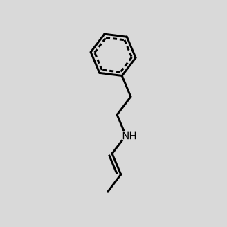 CC=CNCCc1ccccc1